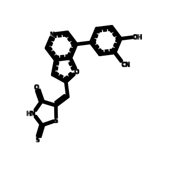 N#Cc1cc(-c2cncc3cc(C=C4SC(=S)NC4=O)oc23)ccc1O